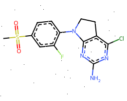 CS(=O)(=O)c1ccc(N2CCc3c(Cl)nc(N)nc32)c(F)c1